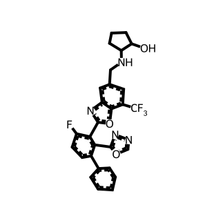 OC1CCCC1NCc1cc(C(F)(F)F)c2oc(-c3c(F)ccc(-c4ccccc4)c3-c3nnco3)nc2c1